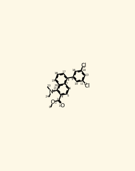 COC(=O)c1ccc2c(-c3cc(Cl)cc(Cl)c3)cccc2c1N(C)C